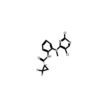 CN(c1ccccc1NC(=O)[C@@H]1CC1(F)F)c1nc(Cl)ncc1Cl